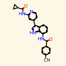 N#Cc1ccc(C(=O)Nc2cccc3c(-c4ccnc(NC(=O)C5CC5)c4)c[nH]c23)cc1